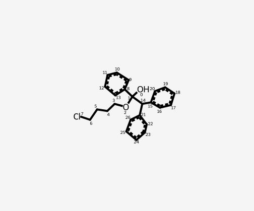 OC(OCCCCCl)(c1ccccc1)C(c1ccccc1)c1ccccc1